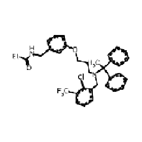 CCC(=O)NCc1cccc(OCCCN(Cc2cccc(C(F)(F)F)c2Cl)C(C)(c2ccccc2)c2ccccc2)c1